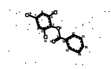 O=C(Oc1c(Cl)cc(Cl)cc1Cl)c1ccccc1